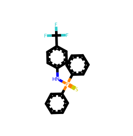 FC(F)(F)c1ccc(NP(=S)(c2ccccc2)c2ccccc2)cc1